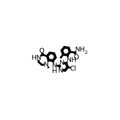 Cc1cccc(C(N)=O)c1Nc1nc(Nc2cccc3c2N(C)CCNC3=O)ncc1Cl